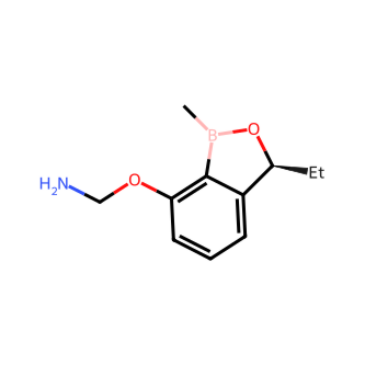 CC[C@@H]1OB(C)c2c(OCN)cccc21